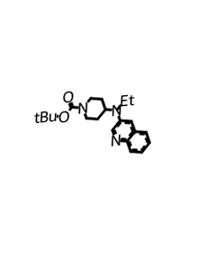 CCN(c1cnc2ccccc2c1)C1CCN(C(=O)OC(C)(C)C)CC1